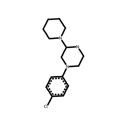 Clc1ccc(N2CC[N]C(N3CCCCC3)C2)cc1